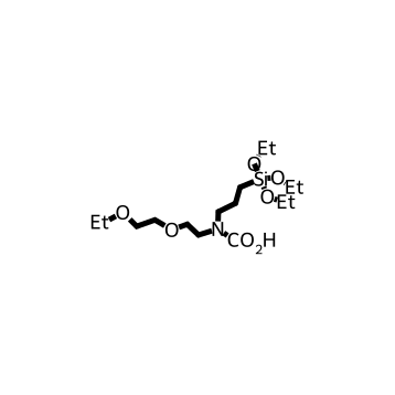 CCOCCOCCN(CCC[Si](OCC)(OCC)OCC)C(=O)O